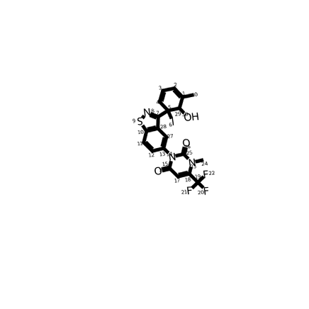 CC1=CC=CC(I)(c2nsc3ccc(-n4c(=O)cc(C(F)(F)F)n(C)c4=O)cc23)C1O